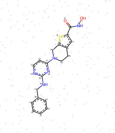 O=C(NO)c1cc2c(s1)CN(c1ccnc(NCc3ccccc3)n1)CC2